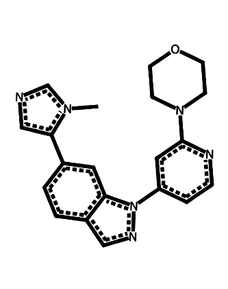 Cn1cncc1-c1ccc2cnn(-c3ccnc(N4CCOCC4)c3)c2c1